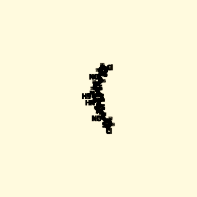 N#C/C(=C\c1ccc(C2=CC=C(c3ccc(/C=C(\C#N)c4ccc(Cl)s4)s3)/C(=N/S)C2=N)s1)c1ccc(Cl)s1